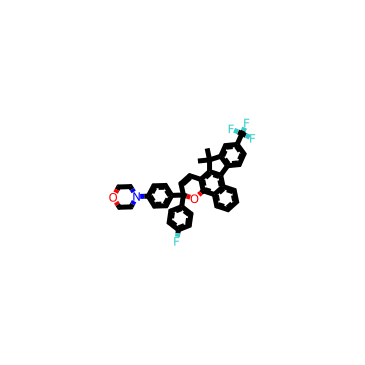 CC1(C)c2cc(C(F)(F)F)ccc2-c2c1c1c(c3ccccc23)OC(c2ccc(F)cc2)(c2ccc(N3CCOCC3)cc2)C=C1